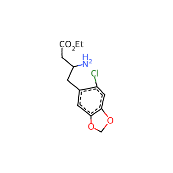 CCOC(=O)CC(N)Cc1cc2c(cc1Cl)OCO2